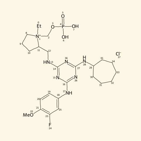 CC[N+]1(COP(=O)(O)O)CCCC1CNc1nc(Nc2ccc(OC)c(F)c2)nc(NC2CCCCCC2)n1.[Cl-]